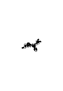 C=CCOC(=O)Nc1cccc(CNc2cc(N3CCOCC3)cc(CSc3nc(CC)c(CC)s3)n2)c1